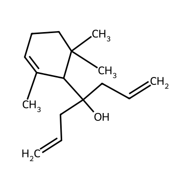 C=CCC(O)(CC=C)C1C(C)=CCCC1(C)C